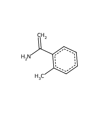 C=C(N)c1ccccc1C